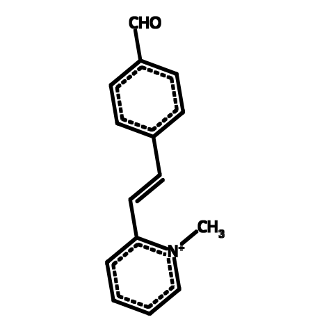 C[n+]1ccccc1C=Cc1ccc(C=O)cc1